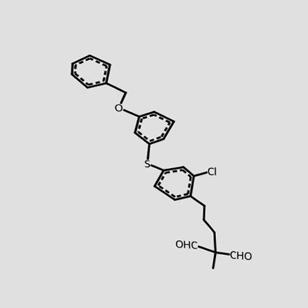 CC(C=O)(C=O)CCCc1ccc(Sc2cccc(OCc3ccccc3)c2)cc1Cl